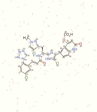 Cn1cc(Cl)c(C[C@H](NC(=O)/C=C/c2cc(Cl)ccc2-n2cnnn2)c2nc(-c3ccc4[nH]c(=O)cc(OC(=O)O)c4c3)c(Cl)[nH]2)n1